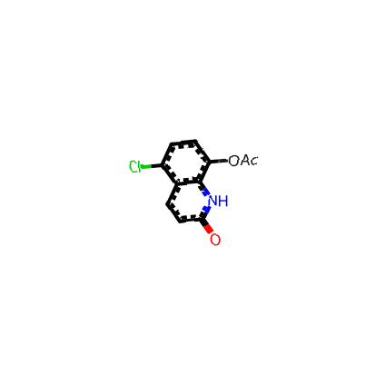 CC(=O)Oc1ccc(Cl)c2ccc(=O)[nH]c12